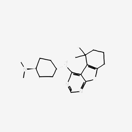 CN(C)[C@H]1CC[C@H](Nc2ncnc3sc4c(c23)C(C)(C)CCC4)CC1